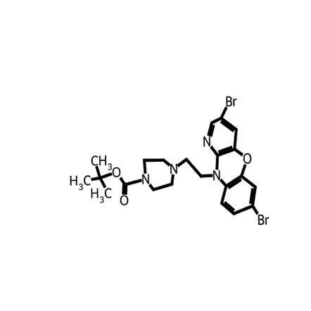 CC(C)(C)OC(=O)N1CCN(CCN2c3ccc(Br)cc3Oc3cc(Br)cnc32)CC1